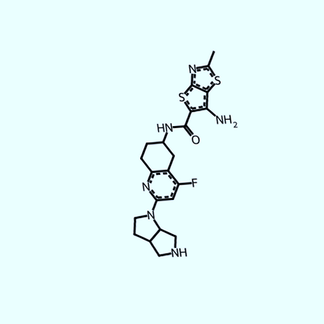 Cc1nc2sc(C(=O)NC3CCc4nc(N5CCC6CNCC65)cc(F)c4C3)c(N)c2s1